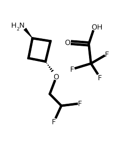 N[C@H]1C[C@H](OCC(F)F)C1.O=C(O)C(F)(F)F